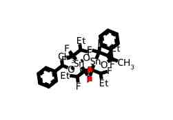 CCC(F)[C](F)(F)[Sn]([O]C(C)c1ccccc1)([O][Sn]([O]C(C)c1ccccc1)([C](F)(F)C(F)CC)[C](F)(F)C(F)CC)[C](F)(F)C(F)CC